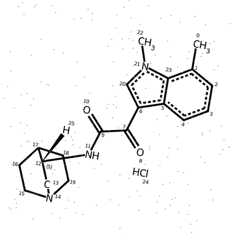 Cc1cccc2c(C(=O)C(=O)N[C@@H]3CN4CCC3CC4)cn(C)c12.Cl